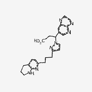 O=C(O)CC(c1cnc2nccnc2c1)n1ccc(CCCc2ccc3c(n2)NCCC3)n1